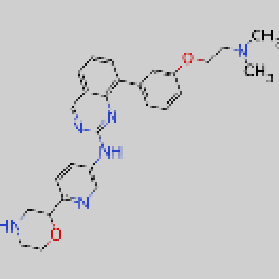 CN(C)CCOc1cccc(-c2cccc3cnc(Nc4ccc(C5CNCCO5)nc4)nc23)c1